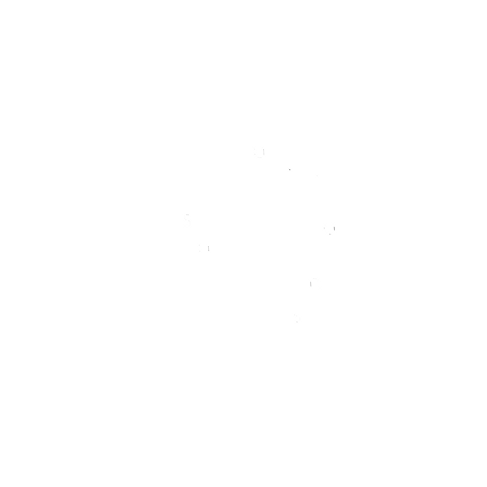 CCSOc1cc(OSCC)c2oc3ccccc3c(=O)c2c1